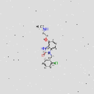 CNCCOc1cccc2c1[nH]c(=O)n2Cc1ccccc1Cl